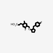 Cc1cc(COC2=C(Cc3ccc(F)cc3)CCC2)c(F)cc1CCC(=O)O